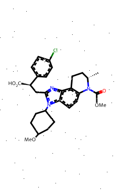 COC(=O)N1c2ccc3c(nc(C[C@@H](C(=O)O)c4ccc(Cl)cc4)n3C3CCC(OC)CC3)c2CC[C@@H]1C